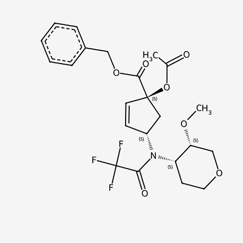 CO[C@@H]1COCC[C@@H]1N(C(=O)C(F)(F)F)[C@@H]1C=C[C@](OC(C)=O)(C(=O)OCc2ccccc2)C1